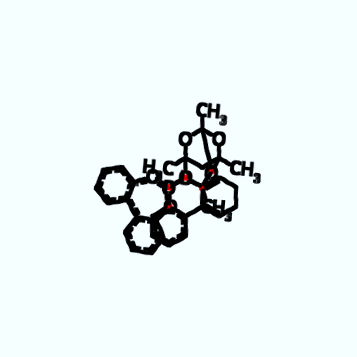 CC12CC3(C)OC(C)(CC(C)(O1)P3Oc1ccccc1C1=CCCC=C1Op1oc3ccccc3c3ccccc3o1)O2